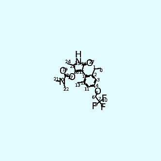 CCc1cc(OCC(F)(F)F)cc(C)c1C1=C(OC(=O)N(C)C)C(C)NC1=O